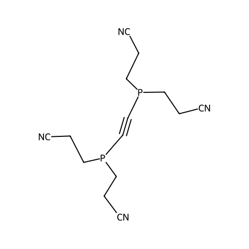 N#CCCP(C#CP(CCC#N)CCC#N)CCC#N